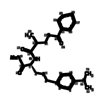 CNC(=O)[C@@H](CSCc1ccc(N(C)C)cc1)NC(=O)C(C)CSC(=O)c1ccccc1